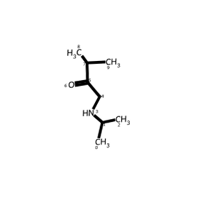 CC(C)NCC(=O)C(C)C